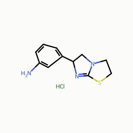 Cl.Nc1cccc(C2CN3CCSC3=N2)c1